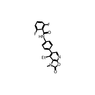 CCc1c(-c2ccc(NC(=O)c3c(F)cccc3F)cc2)cnc2oc(=O)n(C)c12